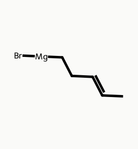 C/C=C/C[CH2][Mg][Br]